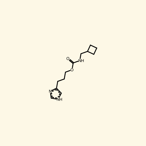 O=C(NCC1CCC1)OCCCc1c[nH]cn1